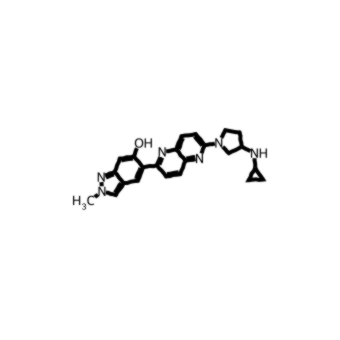 Cn1cc2cc(-c3ccc4nc(N5CCC(NC6CC6)C5)ccc4n3)c(O)cc2n1